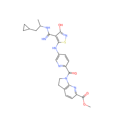 COC(=O)c1ccc2c(n1)N(C(=O)c1ccc(Nc3snc(O)c3C(=N)NC(C)CC3CC3)cn1)CC2